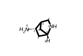 N[C@H]1C[C@@H]2CC1CN2